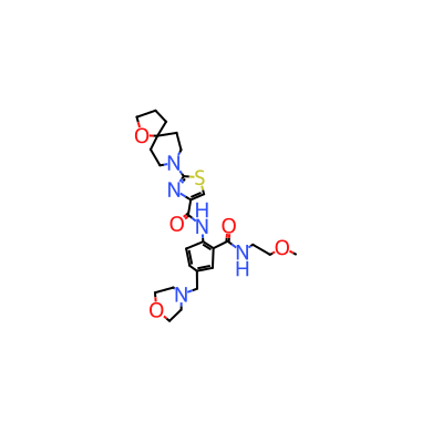 COCCNC(=O)c1cc(CN2CCOCC2)ccc1NC(=O)c1csc(N2CCC3(CCCO3)CC2)n1